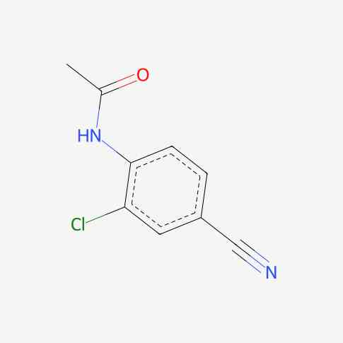 CC(=O)Nc1ccc(C#N)cc1Cl